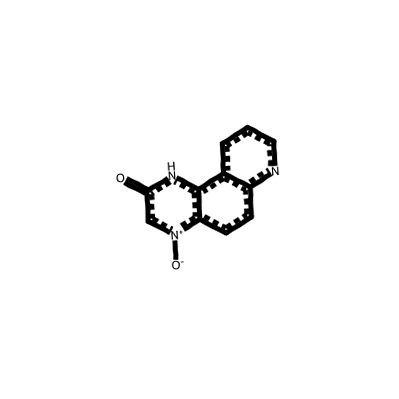 O=c1c[n+]([O-])c2ccc3ncccc3c2[nH]1